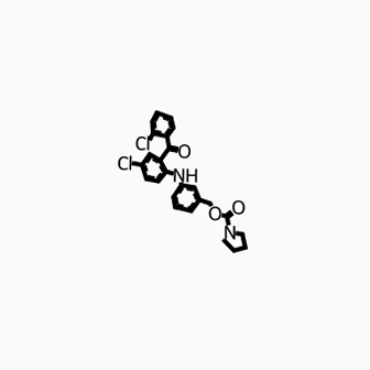 O=C(c1ccccc1Cl)c1cc(Cl)ccc1Nc1cccc(COC(=O)N2CCCC2)c1